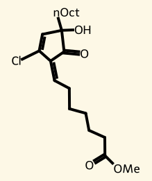 CCCCCCCCC1(O)C=C(Cl)C(=CCCCCCC(=O)OC)C1=O